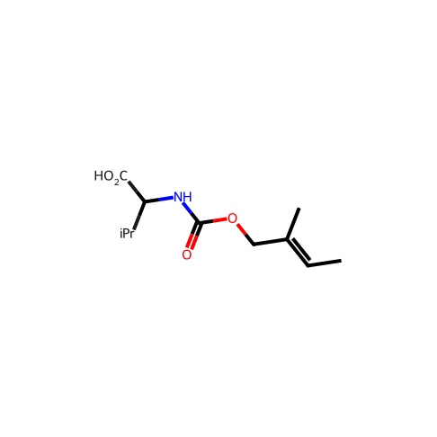 C/C=C(\C)COC(=O)NC(C(=O)O)C(C)C